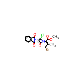 COC(=O)C(=C(C)CBr)N1C(=O)[C@H](N2C(=O)c3ccccc3C2=O)[C@H]1Cl